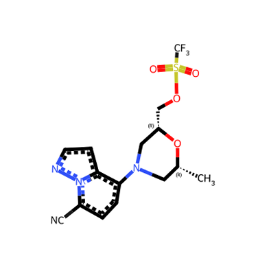 C[C@@H]1CN(c2ccc(C#N)n3nccc23)C[C@H](COS(=O)(=O)C(F)(F)F)O1